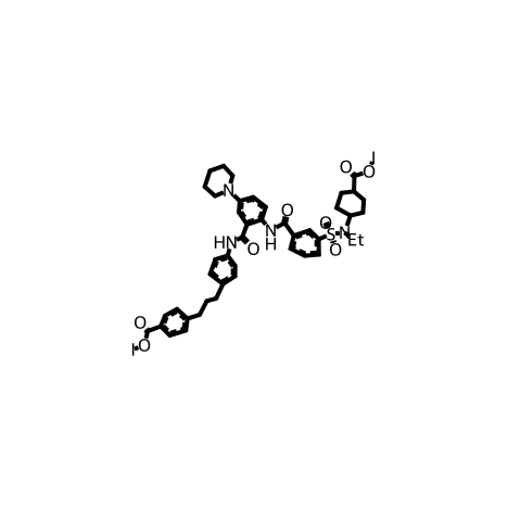 CCN(C1CCC(C(=O)OI)CC1)S(=O)(=O)c1cccc(C(=O)Nc2ccc(N3CCCCC3)cc2C(=O)Nc2ccc(CCCc3ccc(C(=O)OI)cc3)cc2)c1